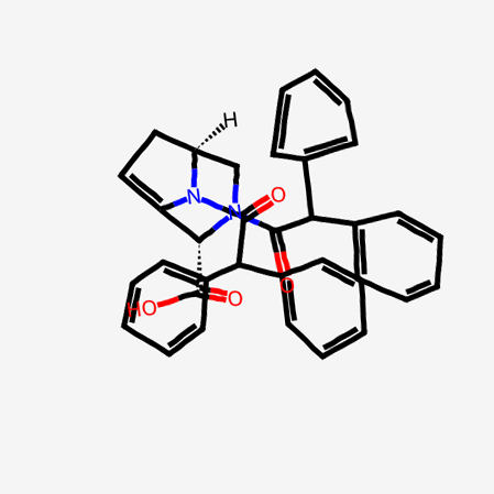 O=C(O)[C@@H]1C2=CC[C@@H](CN1C(=O)C(c1ccccc1)c1ccccc1)N2C(=O)C(c1ccccc1)c1ccccc1